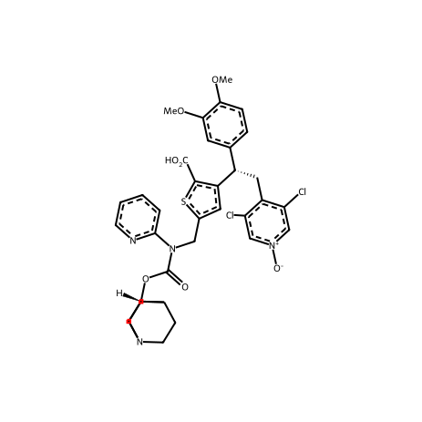 COc1ccc([C@H](Cc2c(Cl)c[n+]([O-])cc2Cl)c2cc(CN(C(=O)O[C@H]3CN4CCC3CC4)c3ccccn3)sc2C(=O)O)cc1OC